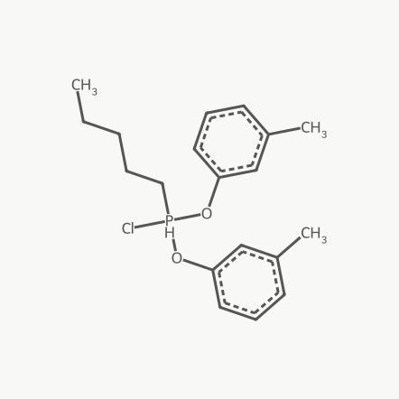 CCCCC[PH](Cl)(Oc1cccc(C)c1)Oc1cccc(C)c1